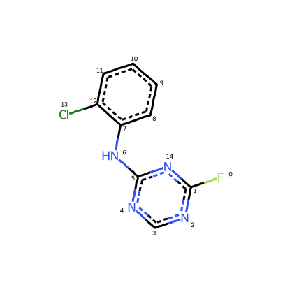 Fc1n[c]nc(Nc2ccccc2Cl)n1